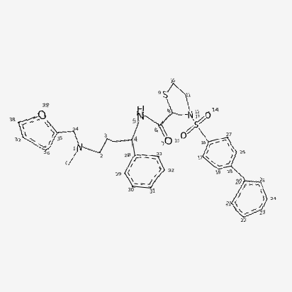 CN(CCC(NC(=O)C1SCCN1S(=O)(=O)c1ccc(-c2ccccc2)cc1)c1ccccc1)Cc1ccco1